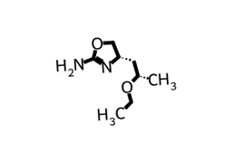 CCO[C@@H](C)C[C@H]1COC(N)=N1